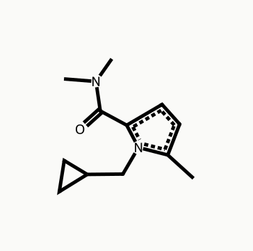 Cc1ccc(C(=O)N(C)C)n1CC1CC1